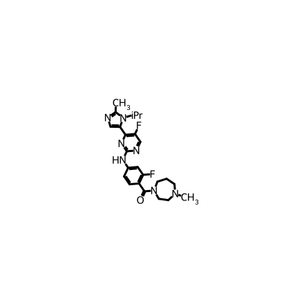 Cc1ncc(-c2nc(Nc3ccc(C(=O)N4CCCN(C)CC4)c(F)c3)ncc2F)n1C(C)C